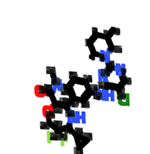 CC1CCCN(c2ncc(Cl)c(Nc3ccc4c(c3)c3c(c(=O)n4C)OCC(F)(F)[C@H](C4CC4)N3)n2)C1